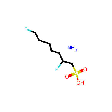 N.O=S(=O)(O)CC(F)CCCCCF